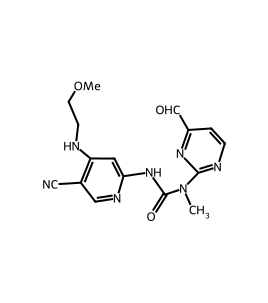 COCCNc1cc(NC(=O)N(C)c2nccc(C=O)n2)ncc1C#N